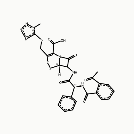 CC(=O)c1ccccc1C(=S)N[C@H](C(=O)NC1C(=O)N2C(C(=O)O)=C(CSc3nnnn3C)CS[C@@H]12)c1ccccc1